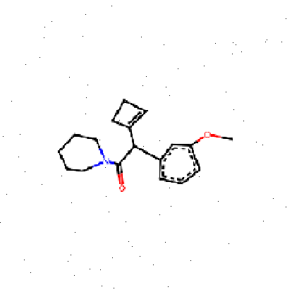 COc1cccc(C(C(=O)N2CCCCC2)C2=CCC2)c1